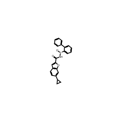 O=C(N[S+]([O-])c1ccccc1-c1ccccc1)c1cc2ccc(C3CC3)cc2o1